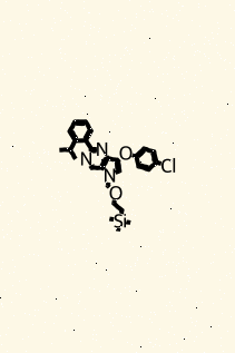 CC(C)c1ccccc1-c1ncc2c(n1)c(Oc1ccc(Cl)cc1)cn2COCC[Si](C)(C)C